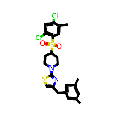 Cc1cc(C)cc(Cc2csc(N3CCC(S(=O)(=O)c4cc(C)c(Cl)cc4Cl)CC3)n2)c1